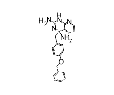 NC1=NC(N)(Cc2ccc(OCc3ccccc3)cc2)c2cccnc2N1